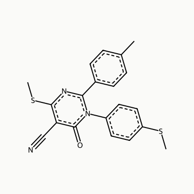 CSc1ccc(-n2c(-c3ccc(C)cc3)nc(SC)c(C#N)c2=O)cc1